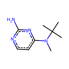 CN(c1ccnc(N)n1)C(C)(C)C